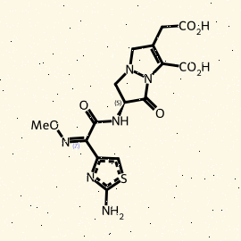 CO/N=C(\C(=O)N[C@H]1CN2CC(CC(=O)O)=C(C(=O)O)N2C1=O)c1csc(N)n1